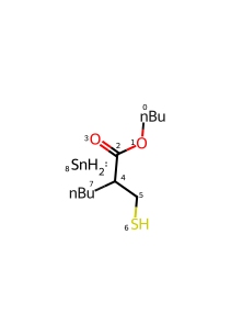 CCCCOC(=O)C(CS)CCCC.[SnH2]